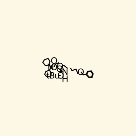 CC(C)(C)OC(=O)N[C@@H](CCCCOCc1ccccc1)COCC(=O)ON(C1CCCCC1)C1CCCCC1